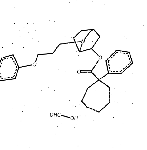 O=C(OC1CC2CCC1N(CCCOc1ccccc1)C2)C1(c2ccccc2)CCCCCC1.O=CO